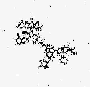 C[C@@H]1COCCN1C[C@H]1CN(C(=O)O)[C@H](C)CN1CC(=O)N1C[C@](C)(C(=O)NCC(=O)Nc2ccc3c(c2)[C@@H](C(=O)Nc2c(F)cccc2F)N(C(=O)[C@@H](NC(=O)[C@H](C)N(C)C(=O)OC(C)(C)C)C2CCOCC2)C3)c2ccc(Cc3ccc(F)cc3)cc21